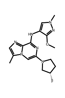 COc1nn(C)cc1Nc1nc(N2CC[C@H](F)C2)cn2c(C)cnc12